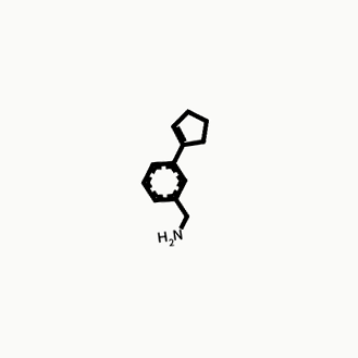 NCc1cccc(C2=CCCC2)c1